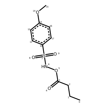 CCCC(=O)ONS(=O)(=O)c1ccc(OC)cc1